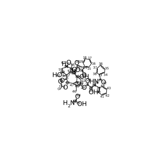 CC(=O)O[C@H]1C(=O)[C@@]2(C)[C@H]([C@H](OC(=O)c3ccccc3)[C@]3(O)C[C@H](OC(=O)[C@H](O)[C@@H](NC(=O)c4ccccc4)c4ccccc4)C(C)=C1C3(C)C)[C@]1(OC(C)=O)CO[C@@H]1C[C@@H]2O.NC(=O)O